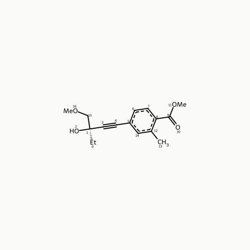 CC[C@@](O)(C#Cc1ccc(C(=O)OC)c(C)c1)COC